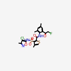 Cc1cc(C)c(NC(=O)c2scc(C)c2S(=O)(=O)Nc2onc(C)c2Cl)c(C(=O)CF)c1